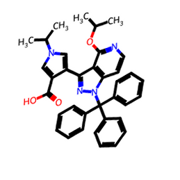 CC(C)Oc1nccc2c1c(-c1cn(C(C)C)cc1C(=O)O)nn2C(c1ccccc1)(c1ccccc1)c1ccccc1